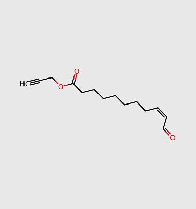 C#CCOC(=O)CCCCCCC/C=C\C=O